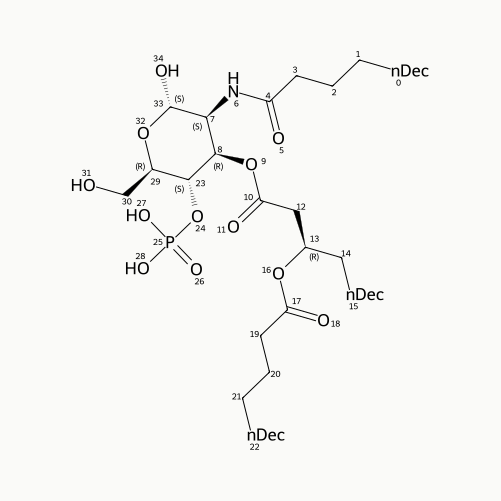 CCCCCCCCCCCCCC(=O)N[C@H]1[C@@H](OC(=O)C[C@@H](CCCCCCCCCCC)OC(=O)CCCCCCCCCCCCC)[C@H](OP(=O)(O)O)[C@@H](CO)O[C@@H]1O